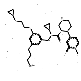 COCCCc1cc(CN(C(=O)[C@H]2CNCCC2c2ccn(C)c(=O)c2)C2CC2)cc(OCCOC2CC2)c1